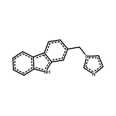 c1ccc2c(c1)[nH]c1cc(Cn3ccnc3)ccc12